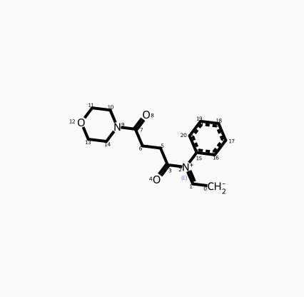 [CH2-]/C=[N+](/C(=O)CCC(=O)N1CCOCC1)c1ccccc1